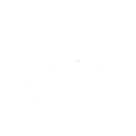 COc1cc(C(=O)N2CC[C@@H](NC(=O)c3cc(C)nn3CC(F)F)[C@@H](c3ccccc3)C2)cc2nccnc12